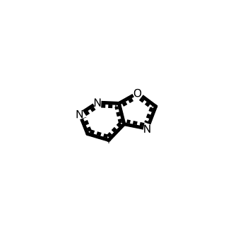 [c]1cnnc2ocnc12